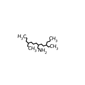 CCCC(CC)CCCC(CN)CCC(CC)CCC